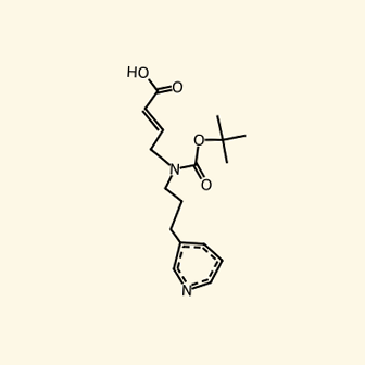 CC(C)(C)OC(=O)N(CC=CC(=O)O)CCCc1cccnc1